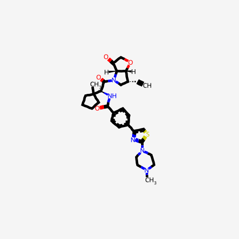 C#C[C@@H]1CN(C(=O)[C@@H](NC(=O)c2ccc(-c3csc(N4CCN(C)CC4)n3)cc2)C2(C)CCCC2)[C@@H]2C(=O)CO[C@H]12